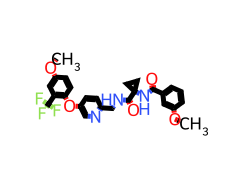 COc1cccc(C(=O)NC2(C(=O)NCc3ccc(Oc4ccc(OC)cc4C(F)(F)F)cn3)CC2)c1